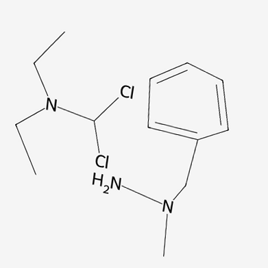 CCN(CC)C(Cl)Cl.CN(N)Cc1ccccc1